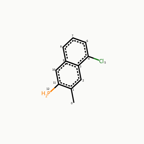 Cc1cc2c(Cl)cccc2cc1P